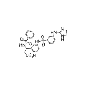 O=C(O)CC(NS(=O)(=O)c1ccccc1)c1cccc(NS(=O)(=O)c2cccc(NC3=NCCN3)c2)c1